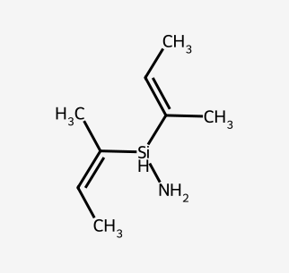 CC=C(C)[SiH](N)C(C)=CC